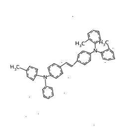 Cc1ccc(N(c2ccccc2)c2ccc(/C=C/c3ccc(N(c4ccccc4C)c4ccccc4C)cc3)cc2)cc1